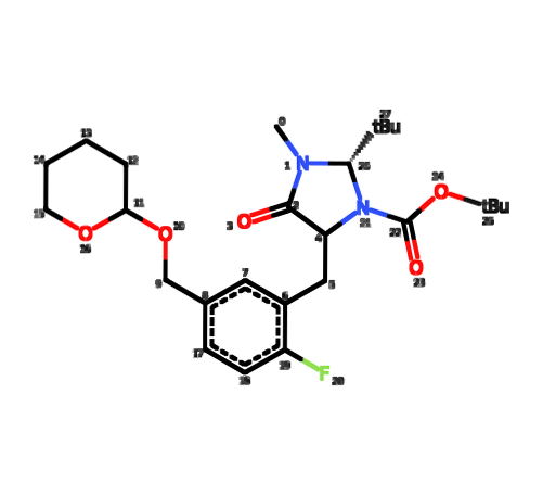 CN1C(=O)C(Cc2cc(COC3CCCCO3)ccc2F)N(C(=O)OC(C)(C)C)[C@H]1C(C)(C)C